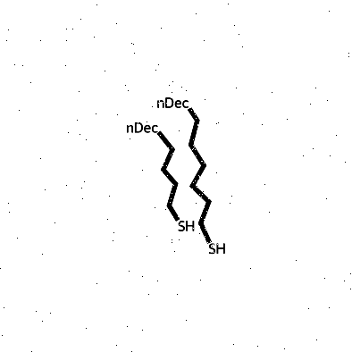 CCCCCCCCCCCCCCCCS.CCCCCCCCCCCCCCS